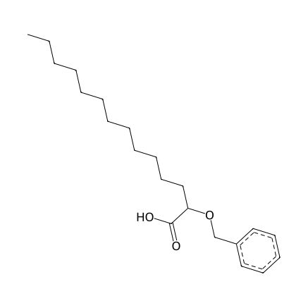 CCCCCCCCCCCCC(OCc1ccccc1)C(=O)O